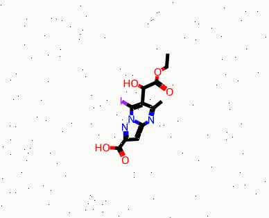 CCOC(=O)C(O)c1c(C)nc2cc(C(=O)O)nn2c1I